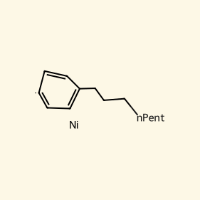 CCCCCCCCc1cc[c]cc1.[Ni]